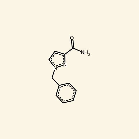 NC(=O)c1ccn(Cc2ccccc2)n1